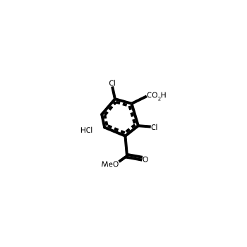 COC(=O)c1ccc(Cl)c(C(=O)O)c1Cl.Cl